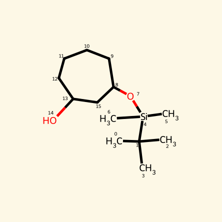 CC(C)(C)[Si](C)(C)OC1CCCCC(O)C1